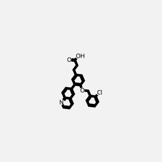 O=C(O)CCc1ccc(OCc2ccccc2Cl)c(-c2ccc3ncccc3c2)c1